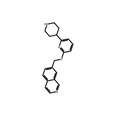 c1cc(OCc2ccc3ccncc3c2)nc(C2CCNCC2)c1